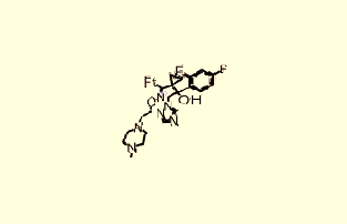 CC/C(=N\OCCN1CCN(C)CC1)C1(C(O)(Cn2cncn2)c2ccc(F)cc2F)CC1